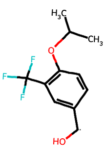 CC(C)Oc1ccc([CH]O)cc1C(F)(F)F